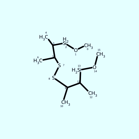 CO[SiH2]C(C)C(C)SSC(C)C(C)[SiH2]OC